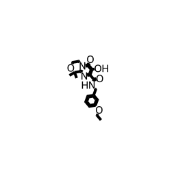 CCOc1cccc(CNC(=O)c2nc3n(c(=O)c2O)CCOC3(C)C)c1